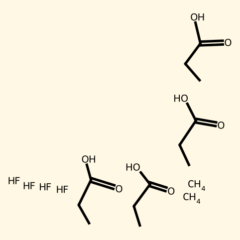 C.C.CCC(=O)O.CCC(=O)O.CCC(=O)O.CCC(=O)O.F.F.F.F